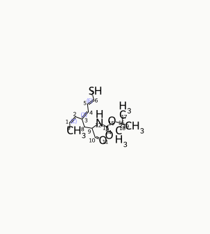 C\C=C/C(=C\C=C\S)CC(C=O)NC(=O)OC(C)(C)C